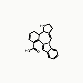 O=C(O)C1=C2c3cc4ccccc4n3C=C3CCNC3C2CC=C1